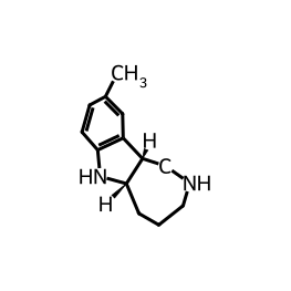 Cc1ccc2c(c1)[C@@H]1CNCCC[C@@H]1N2